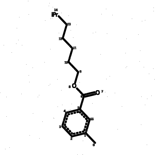 Cc1cccc(C(=O)OCCCCCC(C)C)c1